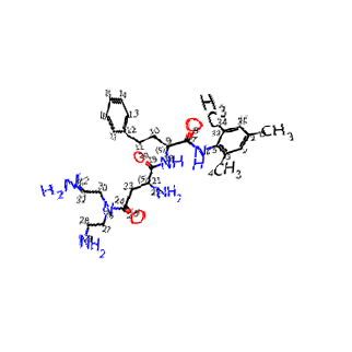 Cc1cc(C)c(NC(=O)[C@H](CCc2ccccc2)NC(=O)[C@@H](N)CC(=O)N(CCN)CCN)c(C)c1